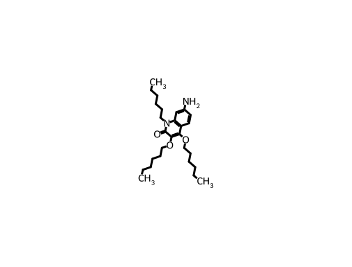 CCCCCCOc1c(OCCCCCC)c2ccc(N)cc2n(CCCCCC)c1=O